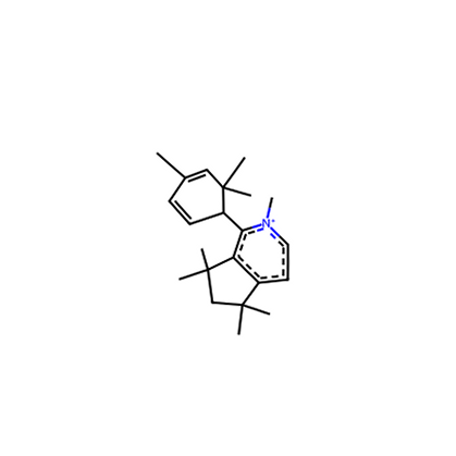 CC1=CC(C)(C)C(c2c3c(cc[n+]2C)C(C)(C)CC3(C)C)C=C1